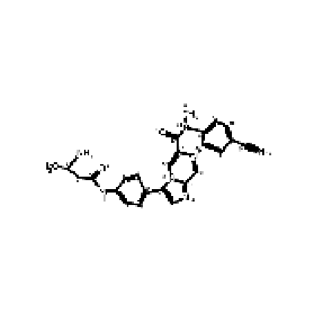 C[C@@H](N)CC(=O)Nc1ccc(-c2cnc3cnc(C(=O)N(C)c4ccc(C#N)cc4)cn23)cc1